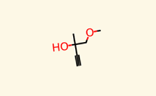 C#CC(C)(O)COC